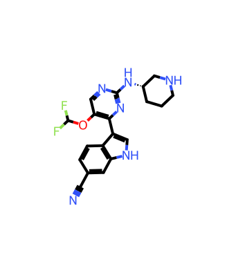 N#Cc1ccc2c(-c3nc(N[C@H]4CCCNC4)ncc3OC(F)F)c[nH]c2c1